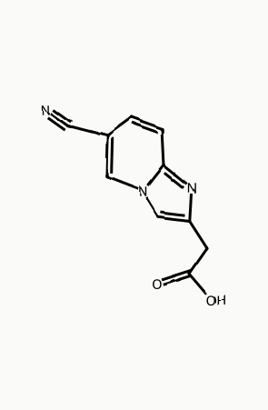 N#Cc1ccc2nc(CC(=O)O)cn2c1